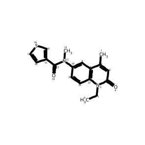 CCn1c(=O)cc(C)c2cc(N(C)C(=O)c3ccsc3)ccc21